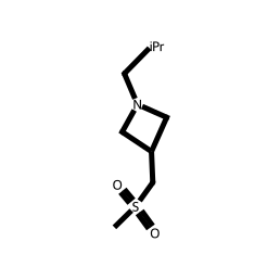 CC(C)CN1CC(CS(C)(=O)=O)C1